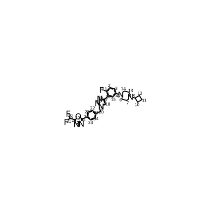 Fc1ccc(N2CCN(C3CCC3)CC2)cc1-c1cn(Cc2ccc(-c3nnc(C(F)F)o3)cc2)nn1